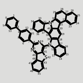 c1ccc(-c2ccc(-c3nc(-n4c5ccccc5c5cc6c7c8ccccc8ccc7n7c8ccccc8c(c54)c67)c4sc5ccccc5c4n3)cc2)cc1